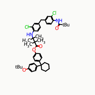 CC(C)(C)Oc1ccc(C2(c3ccc(OC(=O)C(C)(C)C(C)(C)Nc4ccc(Cc5ccc(NC(=O)C(C)(C)C)c(Cl)c5)cc4Cl)cc3)CCCCC2)cc1